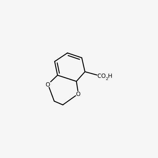 O=C(O)C1C=CC=C2OCCOC21